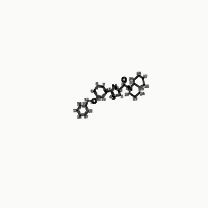 O=C(c1csc(-c2cccc(OCc3ccccc3)c2)n1)N1CCCC2CCCCC21